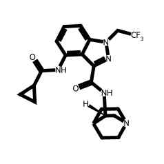 O=C(N[C@@H]1CN2CCC1CC2)c1nn(CC(F)(F)F)c2cccc(NC(=O)C3CC3)c12